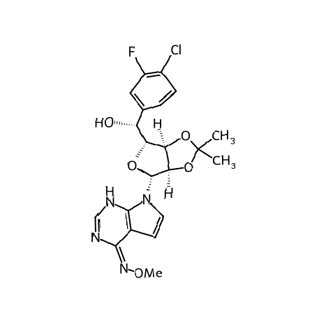 CO/N=c1/nc[nH]c2c1ccn2[C@@H]1O[C@H]([C@H](O)c2ccc(Cl)c(F)c2)[C@H]2OC(C)(C)O[C@H]21